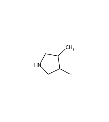 CC1CNCC1I